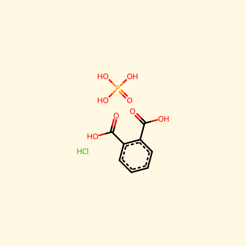 Cl.O=C(O)c1ccccc1C(=O)O.O=P(O)(O)O